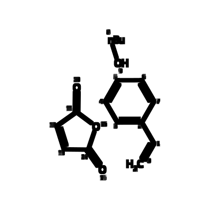 C=Cc1ccccc1.CCCCO.O=C1C=CC(=O)O1